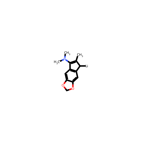 [Li][CH]1C(C)=C(N(C)C)c2cc3c(cc21)OCO3